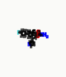 CCC(CCC1CN2CCC1CC2)(OC(N)=O)c1ccc(-c2ccc(F)cc2)cc1